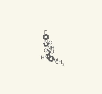 COc1ccc2[nH]cc(C(=O)C(=O)NC3CCN(c4ccc(F)cc4)C3=O)c2c1